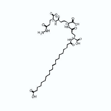 NNC(=O)CC[C@H](NC(=O)CC[C@H](NC(=O)CC[C@H](NC(=O)CCCCCCCCCCCCCCCCCCC(=O)O)C(=O)O)C(=O)O)C(=O)O